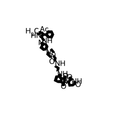 CC(=O)c1c(C)[nH]c(-c2nc3ccc(N4CCN(CC(=O)NCCCNc5cccc6c5C(=O)N(C5CCC(=O)NC5=O)C6=O)CC4)cc3[nH]2)c1-c1ccccc1